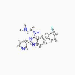 CC(CN(C)C)Nc1nc(-c2cccnc2)nc2ccc(-c3cccc(F)c3)cc12